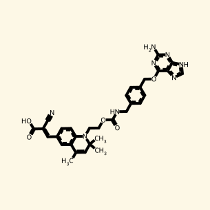 CC1=CC(C)(C)N(CCOC(=O)NCc2ccc(COc3nc(N)nc4[nH]cnc34)cc2)c2ccc(/C=C(\C#N)C(=O)O)cc21